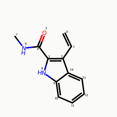 C=Cc1c(C(=O)NC)[nH]c2ccccc12